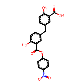 O=C(O)c1cc(Cc2ccc(O)c(C(=O)Oc3ccc([N+](=O)[O-])cc3)c2)ccc1O